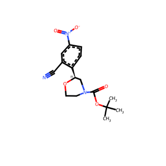 CC(C)(C)OC(=O)N1CCO[C@@H](c2ccc([N+](=O)[O-])cc2C#N)C1